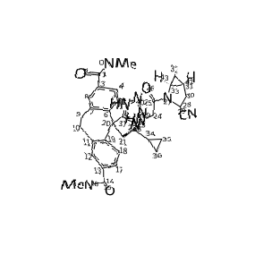 CNC(=O)c1ccc2c(c1)CCc1cc(C(=O)NC)ccc1C2(C[C@@H](NCC(=O)N1[C@H](C#N)C[C@@H]2C[C@@H]21)C1CC1)c1nnn[nH]1